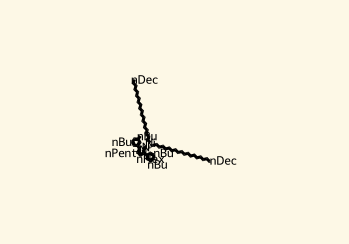 CCCCCCC1=C(c2cc(CCCC)cc(CCCC)c2)[N+](=[N-])C(c2cc(CCCC)cc(CCCC)c2)=C1CCCCC.CCCCCCCCCCCCCCCCCCCCCCCCCCCC[CH2][Ni][CH2]CCCCCCCCCCCCCCCCCCCCCCCCCCCC